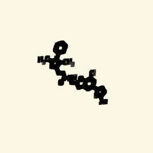 CC(=O)c1ccc(-c2cc(Cl)c3c(c2)CC(CNC(=O)C=Cc2cc(C)n(-c4ccccc4)c2C)O3)s1